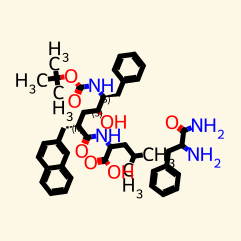 CC(C)CC(NC(=O)[C@H](Cc1ccc2ccccc2c1)C[C@H](O)[C@H](Cc1ccccc1)NC(=O)OC(C)(C)C)C(=O)O.NC(=O)C(N)Cc1ccccc1